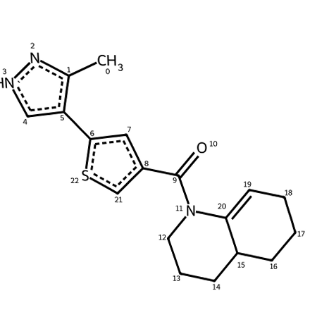 Cc1n[nH]cc1-c1cc(C(=O)N2CCCC3CCCC=C32)cs1